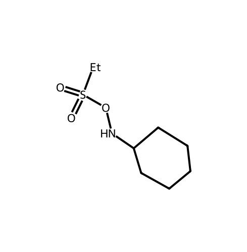 CCS(=O)(=O)ONC1CCCCC1